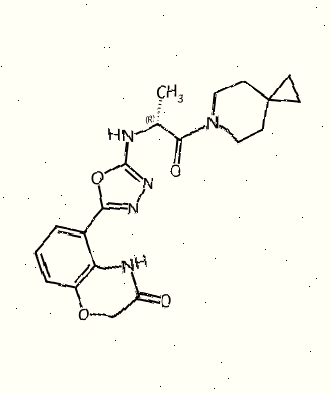 C[C@@H](Nc1nnc(-c2cccc3c2NC(=O)CO3)o1)C(=O)N1CCC2(CC1)CC2